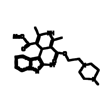 COC(=O)C1=C(C)NC(C)=C(C(=O)OCCN2CCN(C)CC2)C1c1c(C(C)C)nn2ccccc12